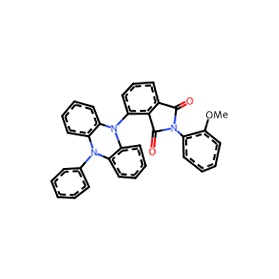 COc1ccccc1N1C(=O)c2cccc(N3c4ccccc4N(c4ccccc4)c4ccccc43)c2C1=O